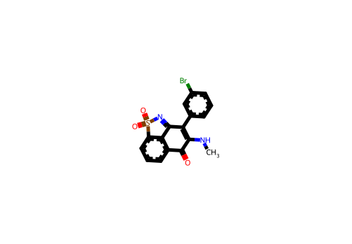 CNC1=C(c2cccc(Br)c2)C2=NS(=O)(=O)c3cccc(c32)C1=O